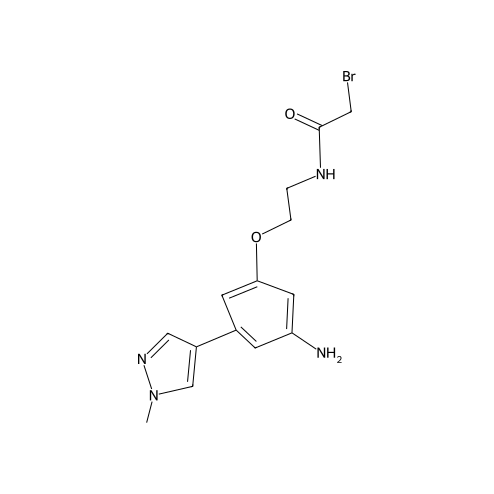 Cn1cc(-c2cc(N)cc(OCCNC(=O)CBr)c2)cn1